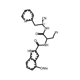 COc1cccc2[nH]c(C(=O)NC(CC(C)C)C(=O)N[C@H](C#N)Cc3ccccn3)cc12